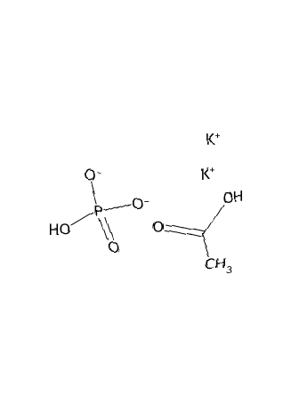 CC(=O)O.O=P([O-])([O-])O.[K+].[K+]